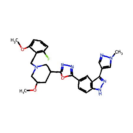 COc1cccc(F)c1CN1CC(OC)CC(c2nnc(-c3ccc4[nH]nc(-c5cnn(C)c5)c4c3)o2)C1